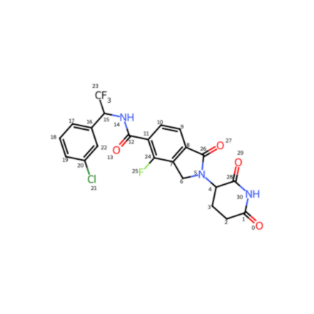 O=C1CCC(N2Cc3c(ccc(C(=O)NC(c4cccc(Cl)c4)C(F)(F)F)c3F)C2=O)C(=O)N1